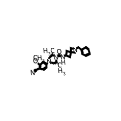 COc1cc(N2C[C@@H](C)N(C(=O)NC3CC4(C3)CN(Cc3ccccc3)C4)[C@@H](C)C2)ccc1C#N